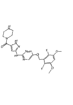 COc1cc(OC)c(F)c(COc2cnc(Nc3cc(C(=O)N4CCNCC4)[nH]n3)nc2)c1F